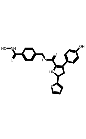 O=C(NCc1ccc(C(=O)NO)cc1)C1=C(c2ccc(O)cc2)CC(c2cccs2)N1